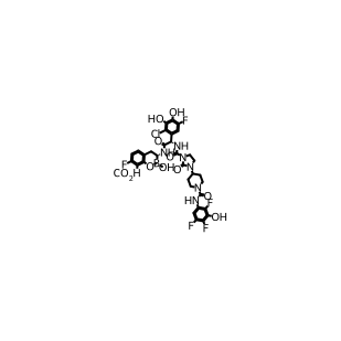 O=C(O)c1c(F)ccc2c1OB(O)[C@@H](NC(=O)[C@@H](NC(=O)N1CCN(C3CCN(C(=O)Nc4cc(F)c(F)c(O)c4F)CC3)C1=O)c1cc(F)c(O)c(O)c1Cl)C2